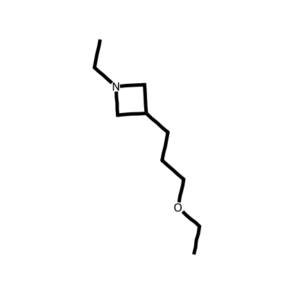 CCOCCCC1CN(CC)C1